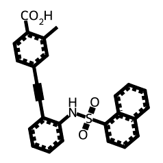 Cc1cc(C#Cc2ccccc2NS(=O)(=O)c2cccc3ccccc23)ccc1C(=O)O